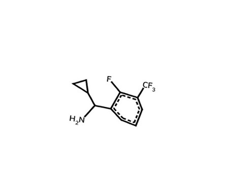 NC(c1cccc(C(F)(F)F)c1F)C1CC1